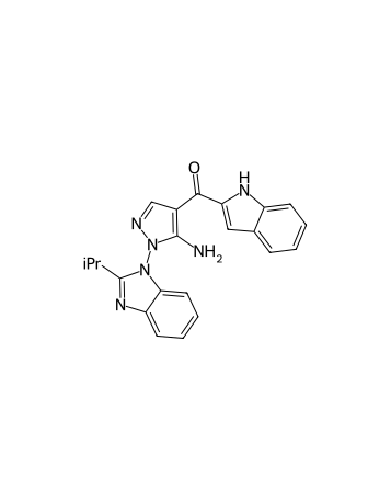 CC(C)c1nc2ccccc2n1-n1ncc(C(=O)c2cc3ccccc3[nH]2)c1N